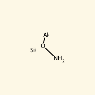 N[O][Al].[Si]